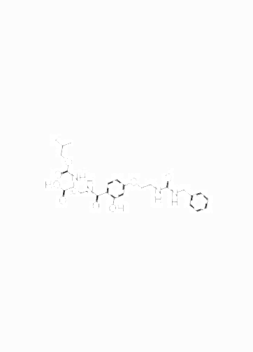 CC(C)COC(=O)N[C@@H](CNC(=O)c1ccc(OCCNC(=O)NCc2ccccc2)cc1O)C(=O)O